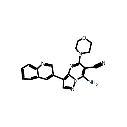 N#Cc1c(N2CCOCC2)nc2c(-c3cnc4ccccc4c3)cnn2c1N